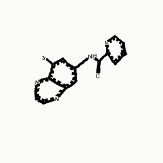 O=C(Nc1cc(Br)c2nccnc2c1)c1ccccn1